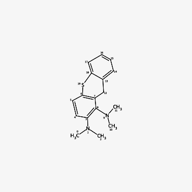 CN(C)c1ccc2c(c1N(C)C)Cc1ccccc1S2